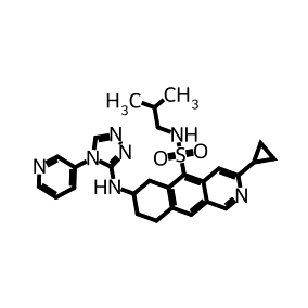 CC(C)CNS(=O)(=O)c1c2c(cc3cnc(C4CC4)cc13)CCC(Nc1nncn1-c1cccnc1)C2